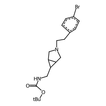 CC(C)(C)OC(=O)NCC1C2CN(CCc3ccc(Br)cc3)CC12